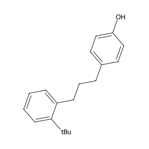 CC(C)(C)c1ccccc1CCCc1ccc(O)cc1